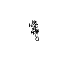 O=C(Nc1nccs1)Oc1cnn(-c2ccc(Cl)cc2)c1C(F)(F)F